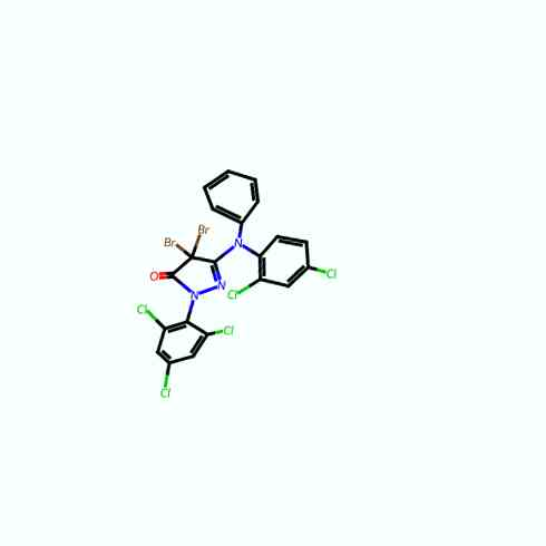 O=C1N(c2c(Cl)cc(Cl)cc2Cl)N=C(N(c2ccccc2)c2ccc(Cl)cc2Cl)C1(Br)Br